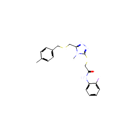 Cc1ccc(CSCc2nnc(SCC(=O)Nc3ccccc3I)n2C)cc1